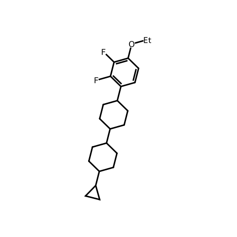 CCOc1ccc(C2CCC(C3CCC(C4CC4)CC3)CC2)c(F)c1F